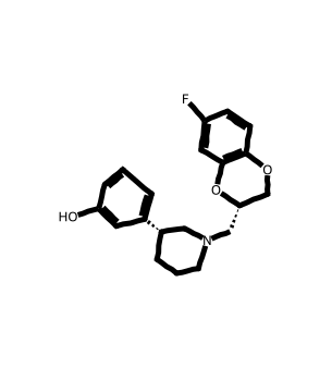 Oc1cccc([C@H]2CCCN(C[C@H]3COc4ccc(F)cc4O3)C2)c1